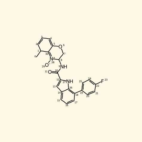 CC1C=CC=C2OCC(NC(=O)c3cc4cccc(-c5ccc(F)cc5)c4[nH]3)[N+]([O-])=C21